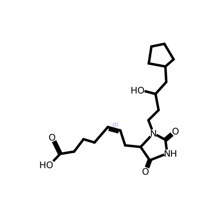 O=C(O)CCC/C=C\CC1C(=O)NC(=O)N1CCC(O)CC1CCCC1